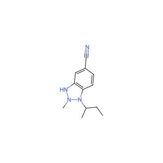 CCC(C)N1c2ccc(C#N)cc2NN1C